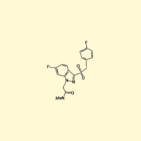 CNC(=O)Cn1nc(S(=O)(=O)Cc2ccc(F)cc2)c2ccc(F)cc21